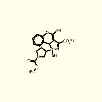 CCOC(=O)C1=N[N+](S)(C2CCN(C(=O)OC(C)(C)C)C2)C2C1=C(S)Oc1ccccc12